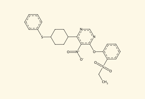 CCS(=O)(=O)c1ccccc1Oc1ncnc(C2CCC(Sc3ccccc3)CC2)c1[N+](=O)[O-]